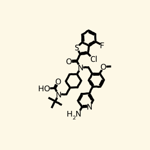 COc1ccc(-c2ccc(N)nc2)cc1CN(C(=O)c1sc2cccc(F)c2c1Cl)C1CCC(CN(C(=O)O)C(C)(C)C)CC1